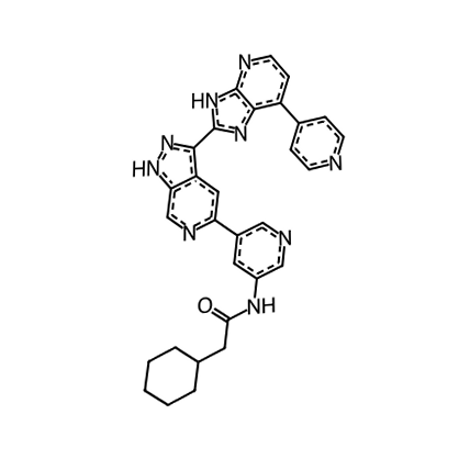 O=C(CC1CCCCC1)Nc1cncc(-c2cc3c(-c4nc5c(-c6ccncc6)ccnc5[nH]4)n[nH]c3cn2)c1